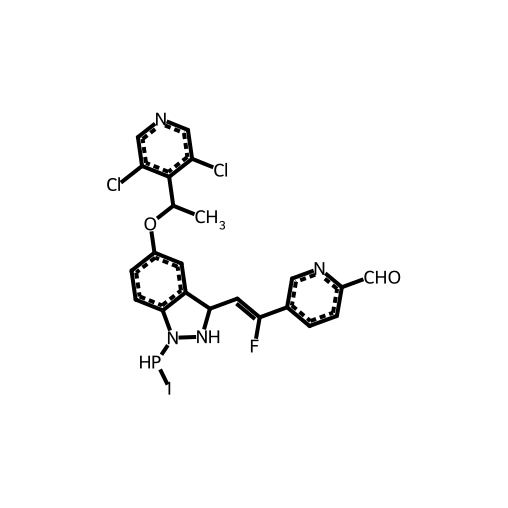 CC(Oc1ccc2c(c1)C(/C=C(\F)c1ccc(C=O)nc1)NN2PI)c1c(Cl)cncc1Cl